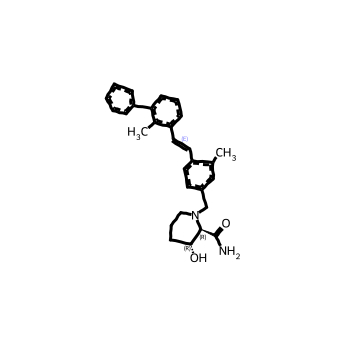 Cc1cc(CN2CCC[C@@H](O)[C@@H]2C(N)=O)ccc1/C=C/c1cccc(-c2ccccc2)c1C